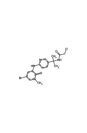 Cn1cc(Br)cc(Nc2ccc(C(C)(C)NC(=O)CCl)cn2)c1=O